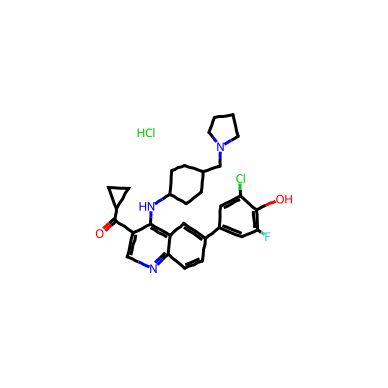 Cl.O=C(c1cnc2ccc(-c3cc(F)c(O)c(Cl)c3)cc2c1NC1CCC(CN2CCCC2)CC1)C1CC1